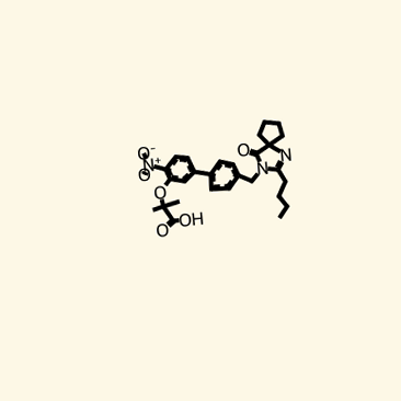 CCCCC1=NC2(CCCC2)C(=O)N1Cc1ccc(-c2ccc([N+](=O)[O-])c(OC(C)(C)C(=O)O)c2)cc1